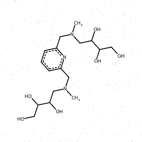 CN(Cc1cccc(CN(C)CC(O)C(O)CO)n1)CC(O)C(O)CO